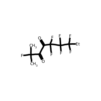 CCC(F)(F)C(F)(F)C(F)(F)C(=O)C(=O)C(C)(C)F